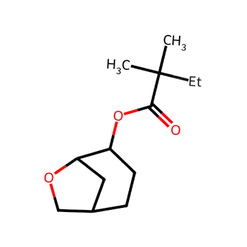 CCC(C)(C)C(=O)OC1CCC2COC1C2